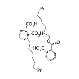 CC(C)CCCCCCOC(=O)c1ccccc1C(=O)O.CC(C)CCCCCCc1cccc(C(=O)O)c1C(=O)O